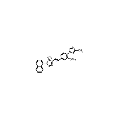 COc1cc(/C=C/C2=NOC(c3cccc4ccccc34)N2C)ccc1-n1cnc(C)c1